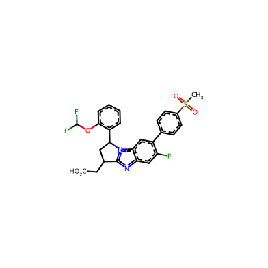 CS(=O)(=O)c1ccc(-c2cc3c(cc2F)nc2n3C(c3ccccc3OC(F)F)CC2CC(=O)O)cc1